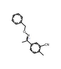 C/C(=N\OCc1ccccc1)c1ccc(C)c(C#N)c1